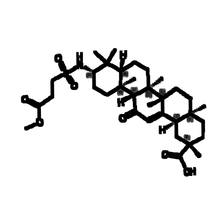 COC(=O)CCS(=O)(=O)N[C@H]1CC[C@]2(C)[C@H]3C(=O)C=C4[C@@H]5C[C@@](C)(C(=O)O)CC[C@]5(C)CC[C@@]4(C)[C@]3(C)CC[C@H]2C1(C)C